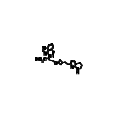 O=C(O)C(CCOC1CC(CCc2ccc3c(n2)NCCC3)C1)Nc1ncnc2cccc(F)c12